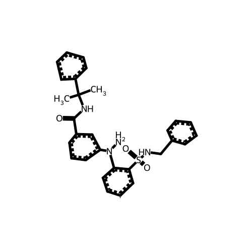 CC(C)(NC(=O)c1cccc(N(N)c2cc[c]cc2S(=O)(=O)NCc2ccccc2)c1)c1ccccc1